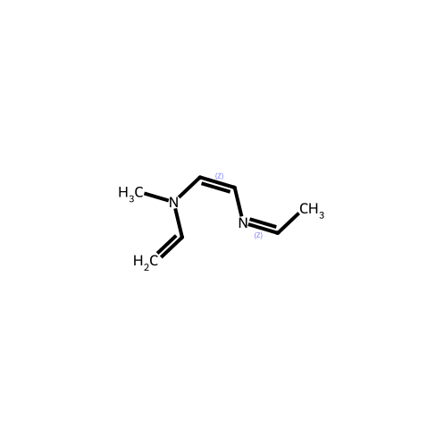 C=CN(C)/C=C\N=C/C